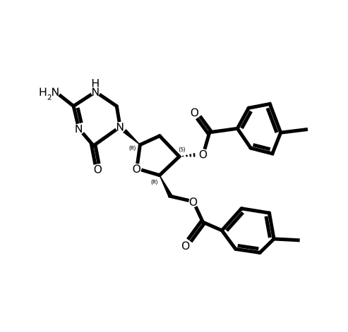 Cc1ccc(C(=O)OC[C@H]2O[C@@H](N3CNC(N)=NC3=O)C[C@@H]2OC(=O)c2ccc(C)cc2)cc1